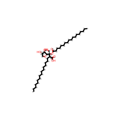 CCCCCCCCCCCCCCCCCC(=O)O[C@](CO)(C(CCCCCCCCCCCCCCCC)C(=O)O)[C@H]1OC[C@H](O)[C@H]1O